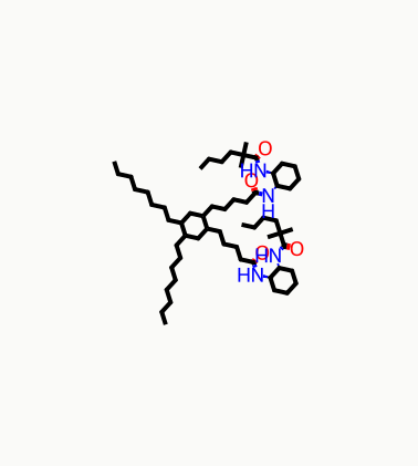 CCCCCCCCC1CC(CCCCC(=O)N[C@H]2CCCC[C@@H]2NC(=O)C(C)(C)CCCC)C(CCCCC(=O)N[C@@H]2CCCC[C@H]2NC(=O)C(C)(C)CCCC)CC1CCCCCCCC